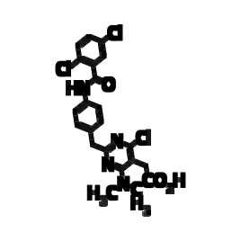 CN(C)c1nc(Cc2ccc(NC(=O)c3cc(Cl)ccc3Cl)cc2)nc(Cl)c1CC(=O)O